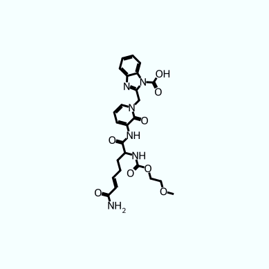 COCCOC(=O)NC(CCC=CC(N)=O)C(=O)Nc1cccn(Cc2nc3ccccc3n2C(=O)O)c1=O